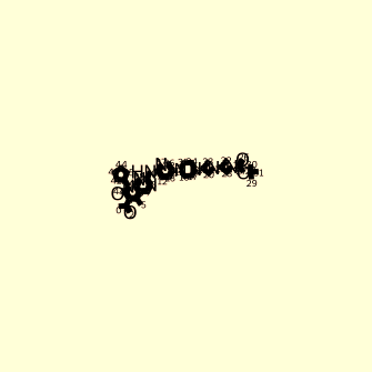 CC(=O)c1c(C)c2cnc(Nc3ccc(N4CCN(C5CN(C6CN(C(=O)OC(C)(C)C)C6)C5)CC4)cn3)nc2n(C2CCCC2)c1=O